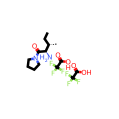 CC[C@H](C)[C@H](N)C(=O)N1CCCC1.O=C(O)C(F)(F)F.O=C(O)C(F)(F)F